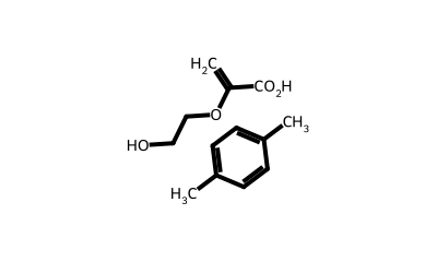 C=C(OCCO)C(=O)O.Cc1ccc(C)cc1